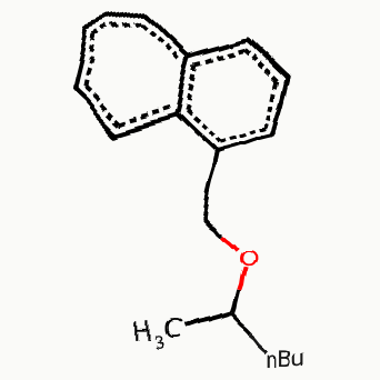 CCCCC(C)OCc1cccc2ccccc12